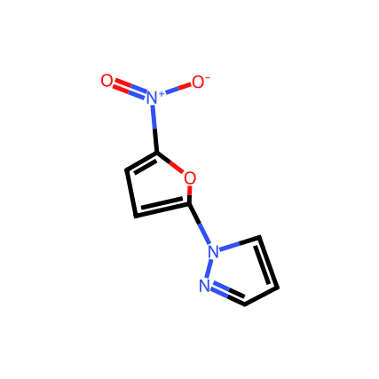 O=[N+]([O-])c1ccc(-n2cccn2)o1